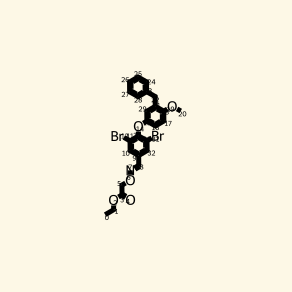 CCOC(=O)CON=Cc1cc(Br)c(Oc2ccc(OC)c(Cc3ccccc3)c2)c(Br)c1